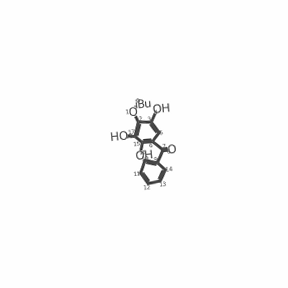 CCC(C)Oc1c(O)cc(C(=O)c2ccccc2)c(O)c1O